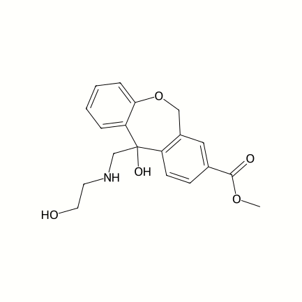 COC(=O)c1ccc2c(c1)COc1ccccc1C2(O)CNCCO